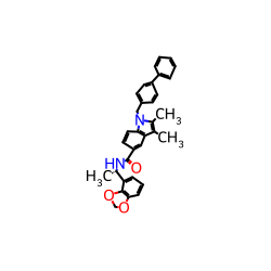 Cc1c(C)n(Cc2ccc(-c3ccccc3)cc2)c2ccc(C(=O)N[C@@H](C)c3cccc4c3OCO4)cc12